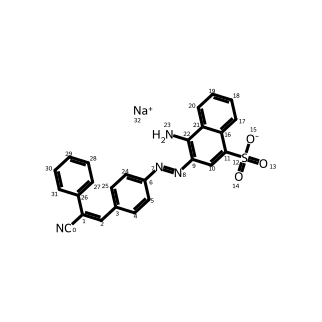 N#CC(=Cc1ccc(N=Nc2cc(S(=O)(=O)[O-])c3ccccc3c2N)cc1)c1ccccc1.[Na+]